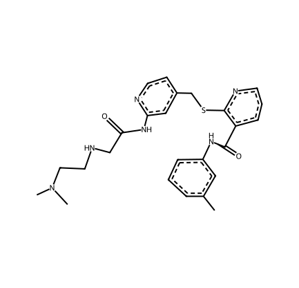 Cc1cccc(NC(=O)c2cccnc2SCc2ccnc(NC(=O)CNCCN(C)C)c2)c1